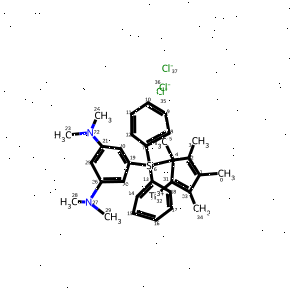 CC1=C(C)C(C)([Si](c2ccccc2)(c2ccccc2)c2cc(N(C)C)cc(N(C)C)c2)[C]([Ti+3])=C1C.[Cl-].[Cl-].[Cl-]